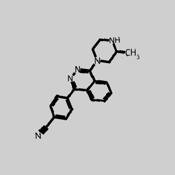 CC1CN(c2nnc(-c3ccc(C#N)cc3)c3ccccc23)CCN1